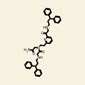 NC(=O)CN(CCc1cccc(C(=O)CNCCC(c2ccccc2)c2ccccc2)n1)C(=O)CNCCC(c1ccccc1)c1ccccc1